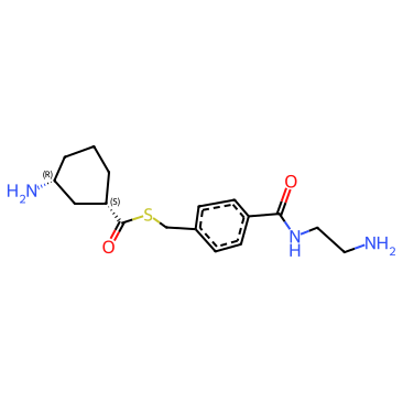 NCCNC(=O)c1ccc(CSC(=O)[C@H]2CCC[C@@H](N)C2)cc1